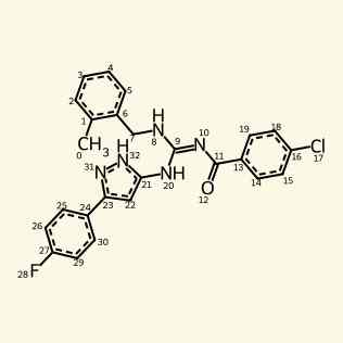 Cc1ccccc1CN/C(=N/C(=O)c1ccc(Cl)cc1)Nc1cc(-c2ccc(F)cc2)n[nH]1